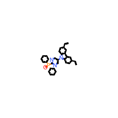 C=Cc1ccc2c(c1)c1cc(C=C)ccc1n2-c1cnc(P(=O)(c2ccccc2)c2ccccc2)nc1